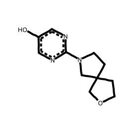 Oc1cnc(N2CCC3(CCOC3)C2)nc1